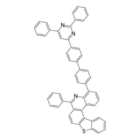 c1ccc(-c2cc(-c3ccc(-c4ccc(-c5cccc6c5nc(-c5ccccc5)c5ccc7sc8ccccc8c7c56)cc4)cc3)nc(-c3ccccc3)n2)cc1